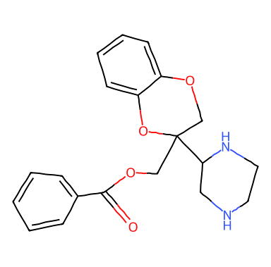 O=C(OCC1(C2CNCCN2)COc2ccccc2O1)c1ccccc1